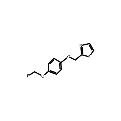 FCOc1ccc(OCc2n[c]cs2)cc1